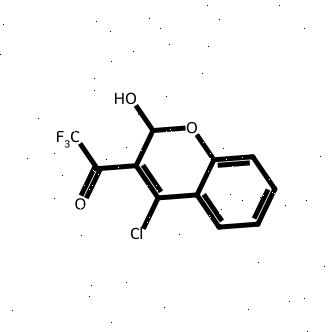 O=C(C1=C(Cl)c2ccccc2OC1O)C(F)(F)F